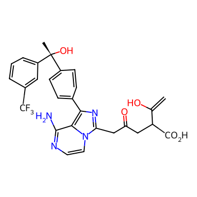 C=C(O)C(CC(=O)Cc1nc(-c2ccc([C@@](C)(O)c3cccc(C(F)(F)F)c3)cc2)c2c(N)nccn12)C(=O)O